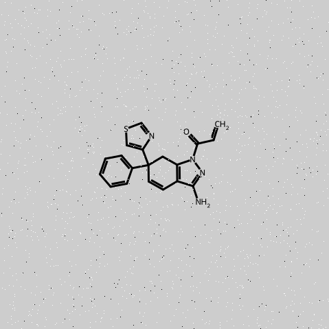 C=CC(=O)n1nc(N)c2c1CC(c1ccccc1)(c1cscn1)C=C2